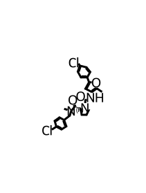 Cc1oc(-c2ccc(Cl)cc2)cc1NC(=O)N1CCC[C@@H]1C(=O)N(C)Cc1ccc(Cl)cc1